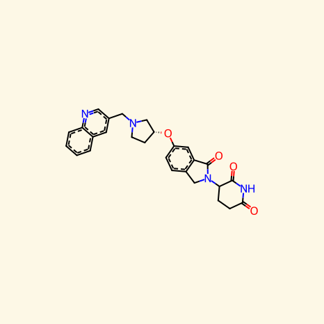 O=C1CCC(N2Cc3ccc(O[C@@H]4CCN(Cc5cnc6ccccc6c5)C4)cc3C2=O)C(=O)N1